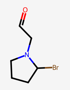 O=CCN1CCCC1Br